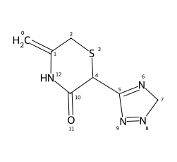 C=C1CSC(C2=NCN=N2)C(=O)N1